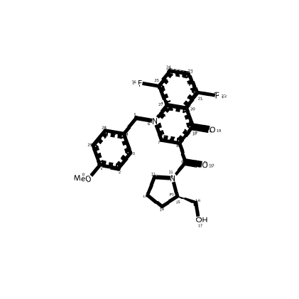 COc1ccc(Cn2cc(C(=O)N3CCC[C@@H]3CO)c(=O)c3c(F)ccc(F)c32)cc1